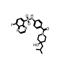 CC(C)CC1(O)CCN(C(=O)c2ccc(NS(=O)(=O)c3ccc(F)c4nccnc34)cc2)CC1